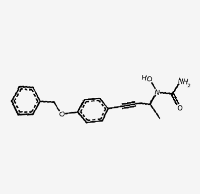 CC(C#Cc1ccc(OCc2ccccc2)cc1)N(O)C(N)=O